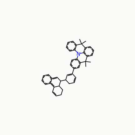 CC1(C)c2ccccc2N2c3ccc(C4=CC(C5C=c6ccccc6=C6C=CCCC65)CC=C4)cc3C(C)(C)c3cccc1c32